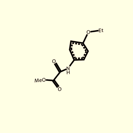 CCOc1ccc(NC(=O)C(=O)OC)cc1